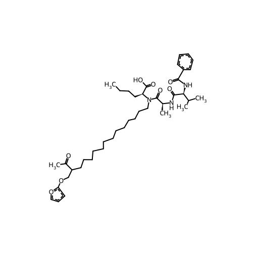 CCCC[C@@H](C(=O)O)N(CCCCCCCCCCCCCC(COc1ccco1)C(C)=O)C(=O)[C@H](C)NC(=O)[C@@H](NC(=O)c1ccccc1)C(C)C